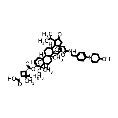 CC(C)C1=C2[C@H]3CC[C@@H]4[C@@]5(C)CC[C@H](OC(=O)[C@H]6C[C@@H](C(=O)O)C6(C)C)C(C)(C)[C@@H]5CC[C@@]4(C)[C@]3(C)CC[C@@]2(CC(=O)NCc2ccc(N3CCC(O)CC3)cc2)CC1=O